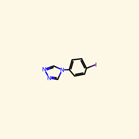 Ic1ccc(-n2cnnc2)cc1